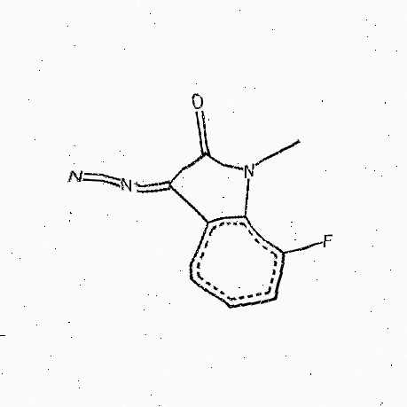 CN1C(=O)C(=[N+]=[N-])c2cccc(F)c21